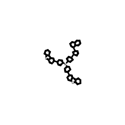 c1cc(-c2ccc(N(c3ccc(-c4ccc5oc6ccccc6c5c4)cc3)c3ccc(-c4ccc5sc6ccccc6c5c4)cc3)cc2)cc(-c2cccc3ccccc23)c1